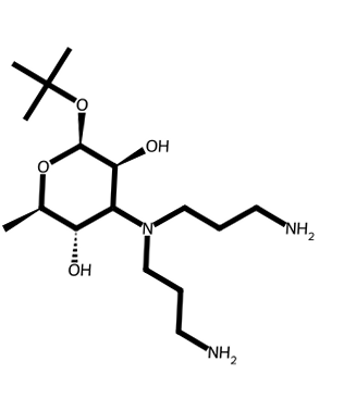 C[C@H]1O[C@@H](OC(C)(C)C)[C@@H](O)C(N(CCCN)CCCN)[C@@H]1O